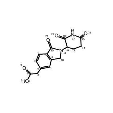 O=C(O)Cc1ccc2c(c1)CN(C1CCC(=O)NC1=O)C2=O